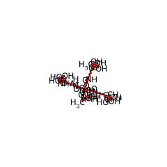 CC(=O)NC1[C@H](OCCCCCCNC(=O)CCOCC(COCCC(=O)NCCCCCCO[C@@H]2OC(CO)[C@H](O)[C@H](O)C2C)(COCCC(=O)NCCCCCCO[C@@H]2OC(CO)[C@H](O)[C@H](O)C2C)NC(=O)CC(=O)N2C[C@H](C)C[C@H]2COP(=O)(O)C(C)C)OC(CO)[C@H](O)[C@@H]1O